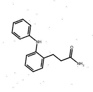 NC(=O)CCc1ccccc1Nc1ccccc1